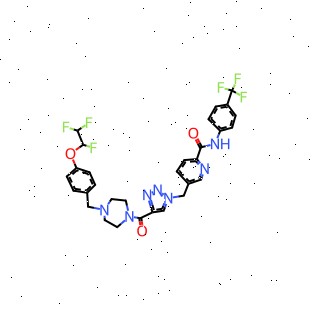 O=C(Nc1ccc(C(F)(F)F)cc1)c1ccc(Cn2cc(C(=O)N3CCN(Cc4ccc(OC(F)C(F)F)cc4)CC3)nn2)cn1